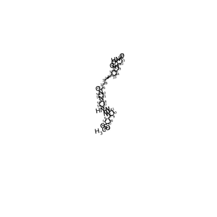 CS(=O)(=O)c1ccc(-c2cccc3nc(Nc4ccc(N5CCN(C(=O)CCCCC#Cc6ccc7c(c6)C(=O)N(C6CCC(=O)NC6=O)C7)CC5)cc4)nn23)cc1